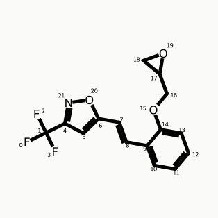 FC(F)(F)c1cc(C=Cc2ccccc2OCC2CO2)on1